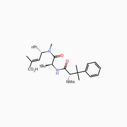 CCC[C@@H](/C=C(\C)C(=O)O)N(C)C(=O)[C@@H](NC(=O)[C@@H](NC)C(C)(C)c1ccccc1)C(C)(C)C